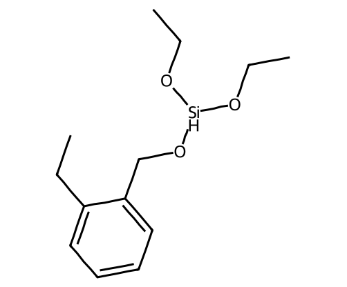 CCO[SiH](OCC)OCc1ccccc1CC